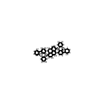 C1=CC2Oc3c(cccc3N(c3ccccc3)c3ccc4c5c3ccc3ccc(N(c6ccccc6)c6cccc7c6oc6ccccc67)c(c35)CC4)C2C=C1